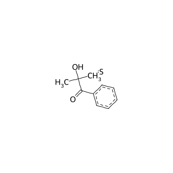 CC(C)(O)C(=O)c1ccccc1.[S]